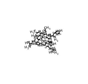 CC(C)C[C@H](NC(=O)[C@H](Cc1c[nH]cn1)NC(=O)[C@@H](N)Cc1c[nH]cn1)C(=O)N[C@@H](CC(C)C)C(=O)N[C@@H](CCCNC(=N)N)C(=O)N1CCC[C@H]1C(=O)N[C@@H](CCCNC(=N)N)C(=O)O